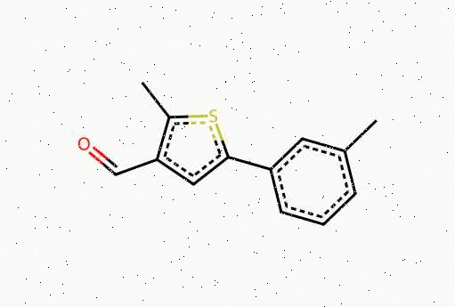 Cc1cccc(-c2cc(C=O)c(C)s2)c1